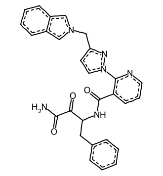 NC(=O)C(=O)C(Cc1ccccc1)NC(=O)c1cccnc1-n1ccc(Cn2cc3ccccc3c2)n1